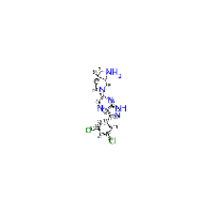 CC1(CN)CCN(c2cnc3c(-c4cc(Cl)cc(Cl)c4)n[nH]c3n2)CC1